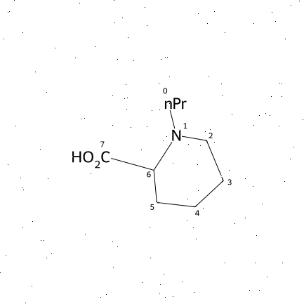 CCCN1CCCCC1C(=O)O